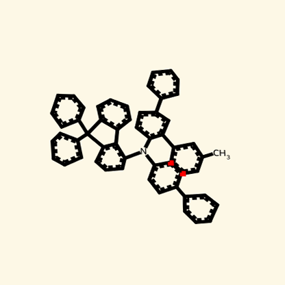 Cc1cccc(-c2cc(-c3ccccc3)ccc2N(c2ccc(-c3ccccc3)cc2)c2cccc3c2-c2ccccc2C3(c2ccccc2)c2ccccc2)c1